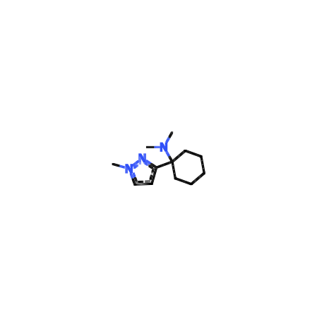 CN(C)C1(c2ccn(C)n2)CCCCC1